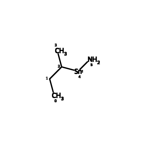 CC[CH](C)[Sn][NH2]